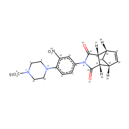 CCOC(=O)N1CCN(c2ccc(N3C(=O)[C@@H]4[C@H](C3=O)[C@@H]3C=C[C@H]4C3)cc2[N+](=O)[O-])CC1